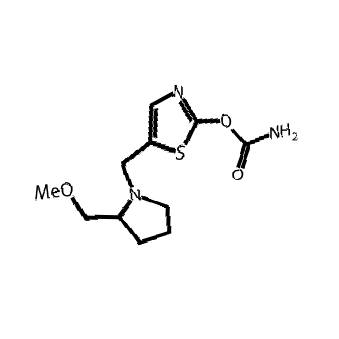 COCC1CCCN1Cc1cnc(OC(N)=O)s1